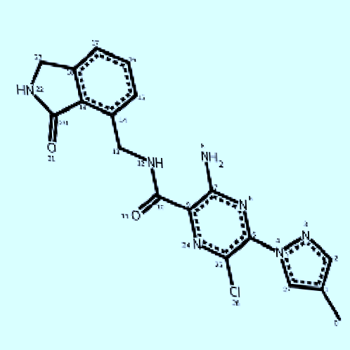 Cc1cnn(-c2nc(N)c(C(=O)NCc3cccc4c3C(=O)NC4)nc2Cl)c1